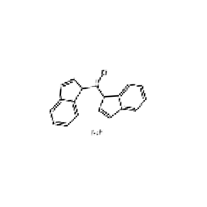 CC[SiH](C1C=Cc2ccccc21)C1C=Cc2ccccc21.[NaH]